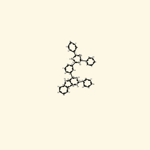 c1ccc(-c2nc(-c3ccccc3)nc(-c3cccc(-c4nc(-c5ccccc5)nc5c4sc4ccccc45)c3)n2)cc1